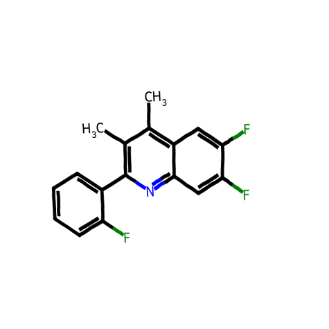 Cc1c(-c2ccccc2F)nc2cc(F)c(F)cc2c1C